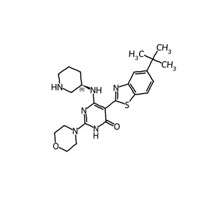 CC(C)(C)c1ccc2sc(-c3c(N[C@@H]4CCCNC4)nc(N4CCOCC4)[nH]c3=O)nc2c1